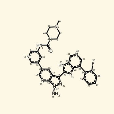 CN1CCN(C(=O)Nc2cncc(-c3cnc4c(c3)c(-c3nc5c(-c6ccccc6F)cncc5[nH]3)nn4N)c2)CC1